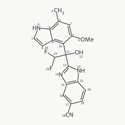 COc1cc(C)c2[nH]ccc2c1C(O)(c1nc2cc(C#N)ccc2[nH]1)C(F)F